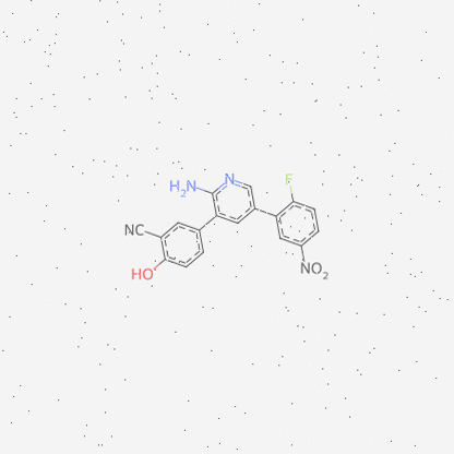 N#Cc1cc(-c2cc(-c3cc([N+](=O)[O-])ccc3F)cnc2N)ccc1O